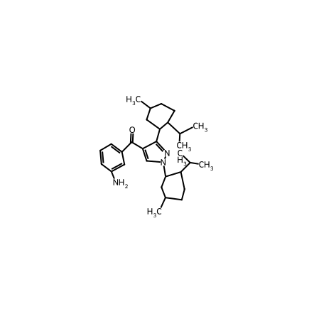 CC1CCC(C(C)C)C(c2nn(C3CC(C)CCC3C(C)C)cc2C(=O)c2cccc(N)c2)C1